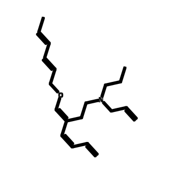 C=C/C=C\C(=C\OC/C=C/C=C/C)CCN(CC=C)CCC